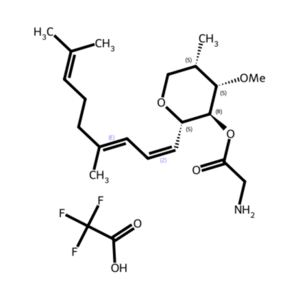 CO[C@@H]1[C@@H](OC(=O)CN)[C@H](/C=C\C=C(/C)CCC=C(C)C)OC[C@@H]1C.O=C(O)C(F)(F)F